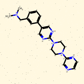 CN(C)Cc1cccc(-c2cnc(N3CCN(c4cnccn4)CC3)nc2)c1